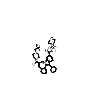 O=C(NS(=O)(=O)N1CCOCC1)c1ccc2c(C3CCCCC3)c3n(c2c1)CC(C(=O)N1CCN(CC(F)(F)F)CC1)=Cc1ccccc1-3